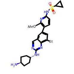 CCc1cc(-c2ccc(NS(=O)(=O)C3CC3)nc2OC)cc2cnc(N[C@H]3CC[C@H](N)CC3)nc12